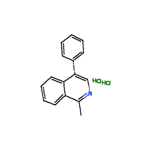 Cc1ncc(-c2ccccc2)c2ccccc12.Cl.Cl